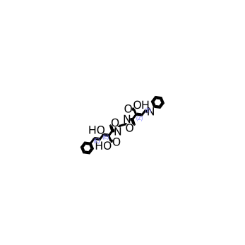 O=C(O)/C(=C\C=N\c1ccccc1)c1coc(-c2nc(/C(C(=O)O)=C(O)/C=C/c3ccccc3)co2)n1